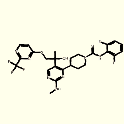 CNc1ncc(C(C)(O)COc2ccnc(C(F)(F)F)n2)c(C2CCN(C(=O)Nc3c(F)cccc3F)CC2)n1